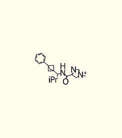 CC(C)C(NC(=O)C1=NC=[N+](C)C1)C12CC(c3ccccc3)(C1)C2